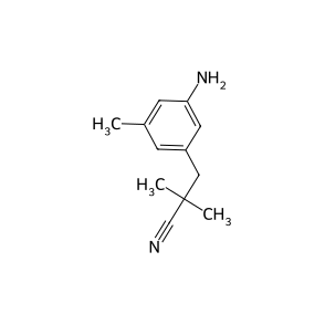 Cc1cc(N)cc(CC(C)(C)C#N)c1